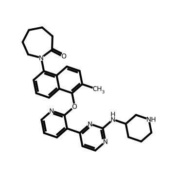 Cc1ccc2c(N3CCCCCC3=O)cccc2c1Oc1ncccc1-c1ccnc(NC2CCCNC2)n1